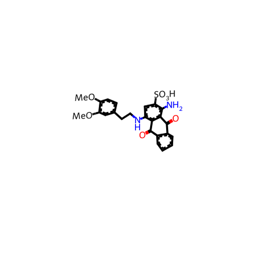 COc1ccc(CCNc2cc(S(=O)(=O)O)c(N)c3c2C(=O)c2ccccc2C3=O)cc1OC